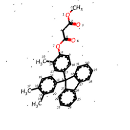 COC(=O)CC(=O)Oc1ccc(C2(c3ccc(C)c(C)c3)c3ccccc3-c3ccccc32)cc1C